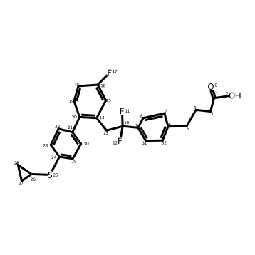 O=C(O)CCCc1ccc(C(F)(F)Cc2cc(F)ccc2-c2ccc(SC3CC3)cc2)cc1